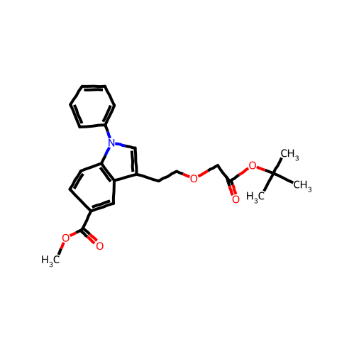 COC(=O)c1ccc2c(c1)c(CCOCC(=O)OC(C)(C)C)cn2-c1ccccc1